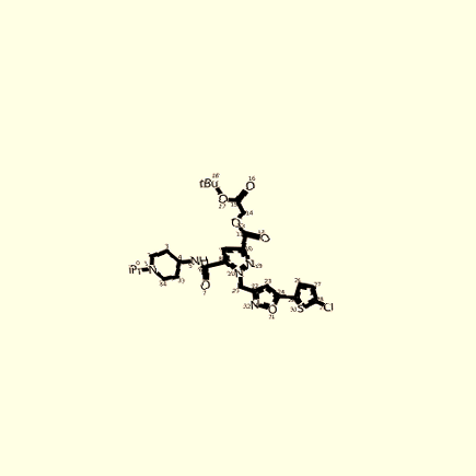 CC(C)N1CCC(NC(=O)c2cc(C(=O)OCC(=O)OC(C)(C)C)nn2Cc2cc(-c3ccc(Cl)s3)on2)CC1